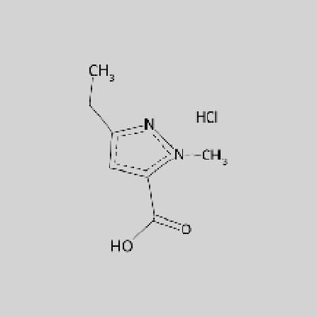 CCc1cc(C(=O)O)n(C)n1.Cl